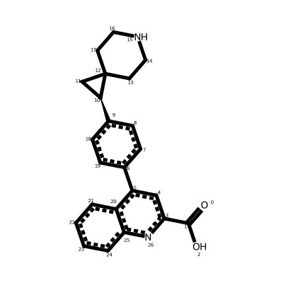 O=C(O)c1cc(-c2ccc([C@H]3CC34CCNCC4)cc2)c2ccccc2n1